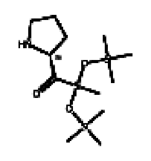 C[Si](C)(C)O[Si](C)(O[Si](C)(C)C)C(=O)[C@@H]1CCCN1